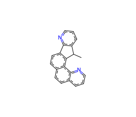 CC1c2cccnc2-c2ccc3ccc4cccnc4c3c21